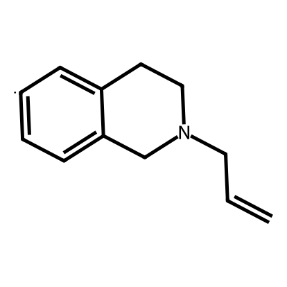 C=CCN1CCc2c[c]ccc2C1